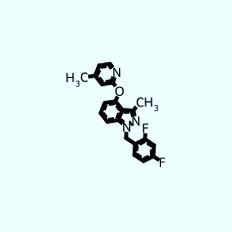 Cc1ccnc(Oc2cccc3c2c(C)nn3Cc2ccc(F)cc2F)c1